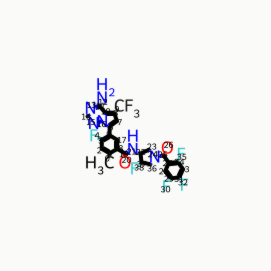 Cc1cc(F)c(-c2cc(C(F)(F)F)c3c(N)ncnn23)cc1C(=O)N[C@@H]1CN(C(=O)c2cc(F)c(F)cc2F)C[C@@H]1F